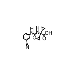 N#Cc1cccc(NC(=O)NC(C(=O)O)(C2CC2)C2CC2)c1